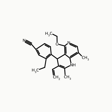 C=CC1=C(C)Nc2c(C)cnc(OCC)c2C1c1ccc(C#N)cc1CC